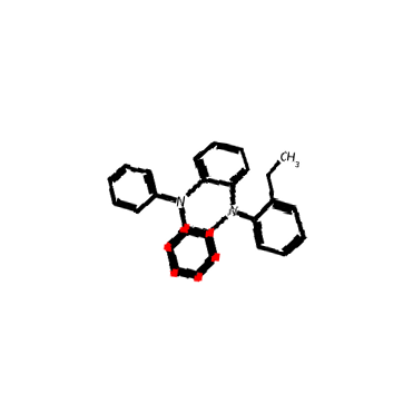 CCc1ccccc1N(c1ccccc1)c1ccccc1N(c1ccccc1)c1ccccc1